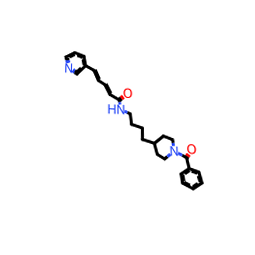 O=C(C=CC=Cc1cccnc1)NCCCCC1CCN(C(=O)c2ccccc2)CC1